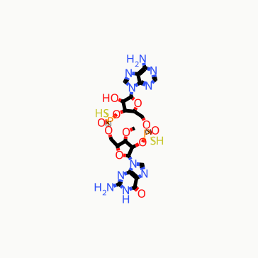 COC1C2CO[P@](=O)(S)OC3C(CO[P@](=O)(S)OC1C(n1cnc4c(=O)[nH]c(N)nc41)O2)OC(n1cnc2c(N)ncnc21)C3O